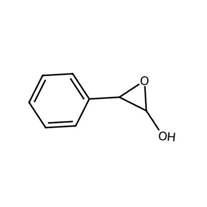 OC1OC1c1ccccc1